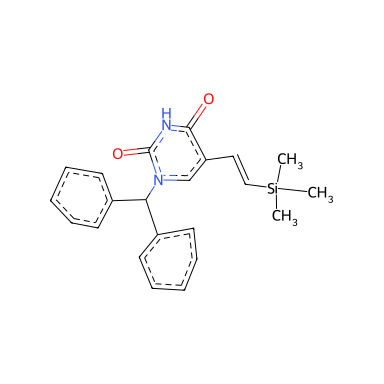 C[Si](C)(C)C=Cc1cn(C(c2ccccc2)c2ccccc2)c(=O)[nH]c1=O